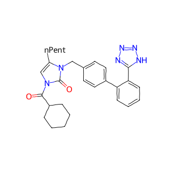 CCCCCc1cn(C(=O)C2CCCCC2)c(=O)n1Cc1ccc(-c2ccccc2-c2nnn[nH]2)cc1